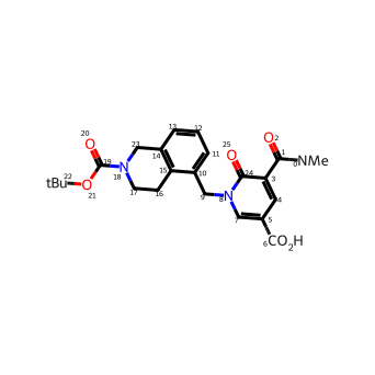 CNC(=O)c1cc(C(=O)O)cn(Cc2cccc3c2CCN(C(=O)OC(C)(C)C)C3)c1=O